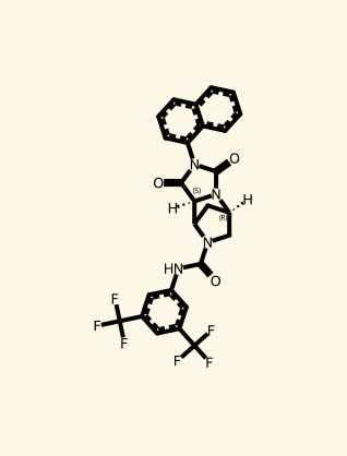 O=C1[C@@H]2C3C[C@H](CN3C(=O)Nc3cc(C(F)(F)F)cc(C(F)(F)F)c3)N2C(=O)N1c1cccc2ccccc12